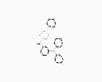 O=C(c1ccnc(C(c2ccc(O)cc2)c2ccc(O)cc2)c1)N1CCN(c2ccc(Cl)cc2)CC1